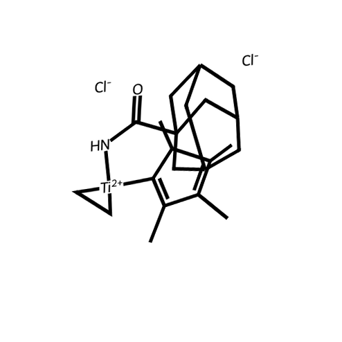 CC1=C(C)C(C)[C]([Ti+2]2([NH]C(=O)C34CC5CC(CC(C5)C3)C4)[CH2][CH2]2)=C1C.[Cl-].[Cl-]